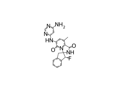 Cc1cc(Nc2cc(N)ncn2)c(=O)n2c1C(=O)NC21Cc2ccccc2[C@@H]1F